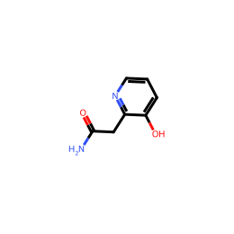 NC(=O)Cc1ncccc1O